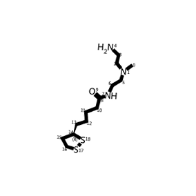 CN(CCN)CCNC(=O)CCCC[C@@H]1CCSS1